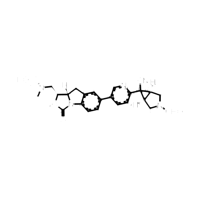 CN(C[C@@H]1OC(=O)N2c3ccc(-c4ccc(C5(C#N)[C@@H]6CN(C=O)C[C@@H]65)nc4)cc3C[C@@H]12)C(=O)O